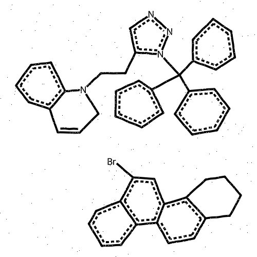 Brc1cc2c3c(ccc2c2ccccc12)CCCC3.C1=Cc2ccccc2N(CCc2cnnn2C(c2ccccc2)(c2ccccc2)c2ccccc2)C1